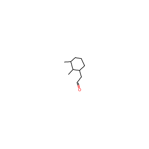 CC1CCCC(CC=O)C1C